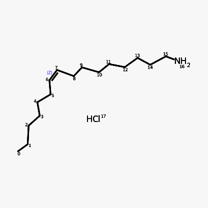 CCCCCC/C=C\CCCCCCCCN.Cl